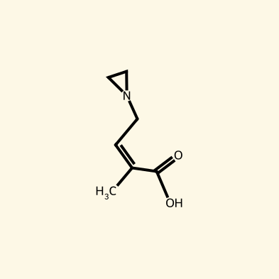 CC(=CCN1CC1)C(=O)O